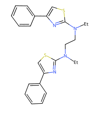 CCN(CCN(CC)c1nc(-c2ccccc2)cs1)c1nc(-c2ccccc2)cs1